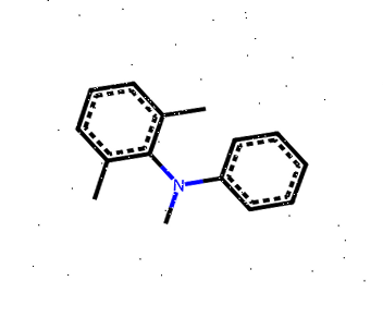 Cc1cccc(C)c1N(C)c1ccccc1